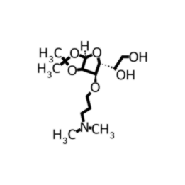 CN(C)CCCO[C@H]1C2OC(C)(C)O[C@H]2O[C@@H]1C(O)CO